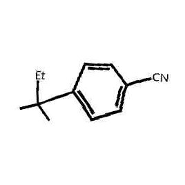 CCC(C)(C)c1ccc(C#N)cc1